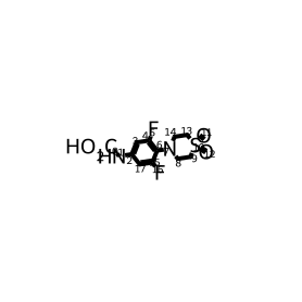 O=C(O)Nc1cc(F)c(N2CCS(=O)(=O)CC2)c(F)c1